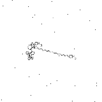 CCCCCCCCCCCCCCCCCCCC[n+]1c(C)oc2cccc(-c3cccc(S(=O)(=O)[O-])c3Cl)c21